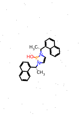 C[C@H](c1cccc2ccccc12)N1C=CN([C@H](C)c2cccc3ccccc23)P1O